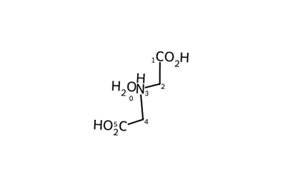 O.O=C(O)CNCC(=O)O